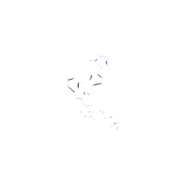 Cc1nnc(C)n1-c1ccc(O[C@@H]2c3ccccc3C[C@@H]2N2CCC[C@@H](NCCC(F)(F)F)C2)cc1